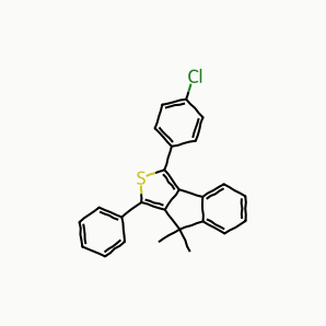 CC1(C)c2ccccc2-c2c(-c3ccc(Cl)cc3)sc(-c3ccccc3)c21